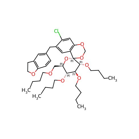 CCCCOC[C@H]1O[C@]2(OCOc3cc(Cl)c(Cc4ccc5c(c4)CCO5)cc32)[C@H](OCCCC)[C@@H](OCCCC)[C@@H]1OCCCC